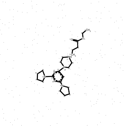 CCCC(=O)OCC.c1c(N2CCCC2)nc(N2CCCC2)nc1N1CCNCC1